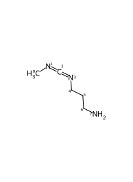 CN=C=NCCCN